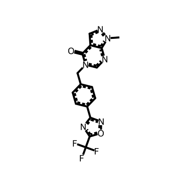 Cn1ncc2c(=O)n(Cc3ccc(-c4noc(C(F)(F)F)n4)cc3)cnc21